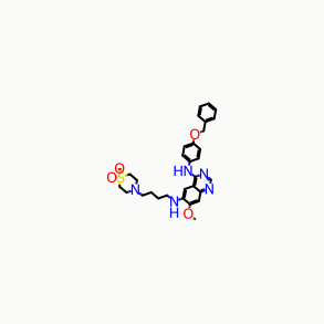 COc1cc2ncnc(Nc3ccc(OCc4ccccc4)cc3)c2cc1NCCCCN1CCS(=O)(=O)CC1